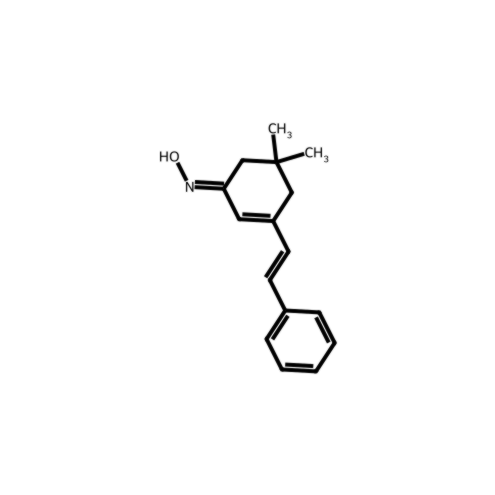 CC1(C)CC(C=Cc2ccccc2)=CC(=NO)C1